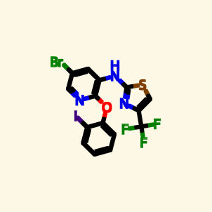 FC(F)(F)c1csc(Nc2cc(Br)cnc2Oc2ccccc2I)n1